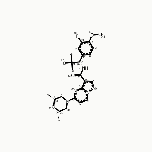 C[C@@H]1CN(c2ccn3ncc(C(=O)N[C@@H](c4ccc(OC(F)(F)F)c(F)c4)C(C)(C)O)c3n2)C[C@H](C)O1